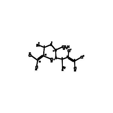 CC(C)C(SN(SC(C(Cl)=C(Cl)Cl)C(C)C)C(=O)O)C(Cl)=C(Cl)Cl